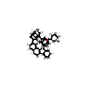 c1ccc(-n2c3ccccc3c3ccc4ccc5c6ccccc6n(-c6cc(-c7cccnc7)cc(-c7cccnc7)c6)c5c4c32)cc1